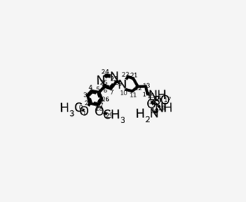 COc1ccc(-c2cc(N3CCC(CCNS(=O)(=O)NN)CC3)ncn2)cc1OC